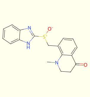 CN1CCC(=O)c2cccc(C[S+]([O-])c3nc4ccccc4[nH]3)c21